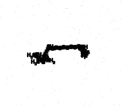 CCCN(Cc1ccc(CN(C)C)cc1)C(=O)C1=Cc2sc(CCCCCN(C)CCOCCOCCOCCOCCOCCOCCOCCOC(CO)OCCC(=O)Oc3c(F)c(F)cc(F)c3F)cc2N=C(N)C1